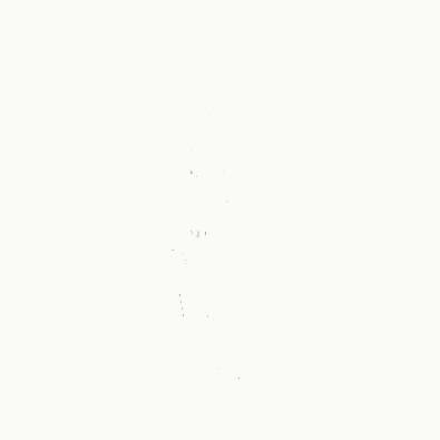 CCOC(=O)C(CNC(=O)C1CCN(c2ccncc2)CC1)NS(=O)(=O)c1ccc2ccccc2c1